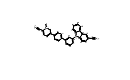 CN1CC(c2ccc(-c3cccc(N4C5=C=CC(C#N)=CC5c5ccccc54)c3)cc2)=CC=C1C#N